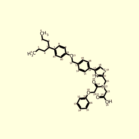 CCCC(CCC)c1ccc(OCc2ccc(-c3csc(CN(CC(=O)O)C(=O)COc4ccccc4)n3)cc2)cc1